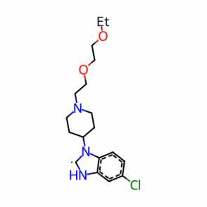 CCOCCOCCN1CCC(N2[CH]Nc3cc(Cl)ccc32)CC1